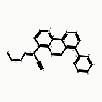 C#C/C(=C\C=C/C)c1ccnc2c1ccc1c(-c3ccccc3)ccnc12